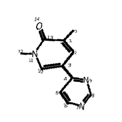 Cc1cc(-c2c[c]ncn2)cn(C)c1=O